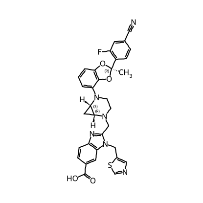 C[C@@]1(c2ccc(C#N)cc2F)Oc2cccc(N3CCN(Cc4nc5ccc(C(=O)O)cc5n4Cc4cncs4)[C@@H]4C[C@@H]43)c2O1